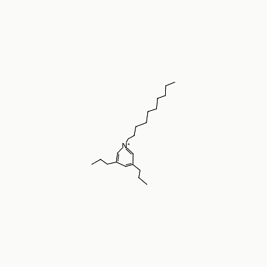 CCCCCCCCCC[n+]1cc(CCC)cc(CCC)c1